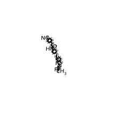 CC(F)(F)COc1nc2c(s1)CCN(CC[C@H]1CC[C@H](NC(=O)CCc3ccc(C#N)cc3)CC1)C2